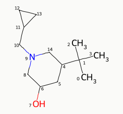 CC(C)(C)C1CC(O)CN(CC2CC2)C1